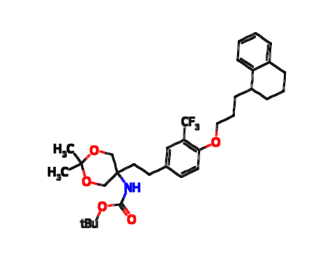 CC(C)(C)OC(=O)NC1(CCc2ccc(OCCCC3CCCc4ccccc43)c(C(F)(F)F)c2)COC(C)(C)OC1